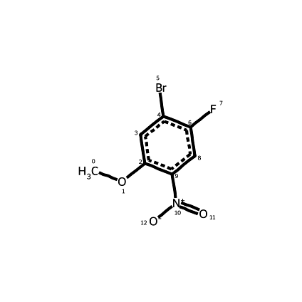 COc1cc(Br)c(F)cc1[N+](=O)[O-]